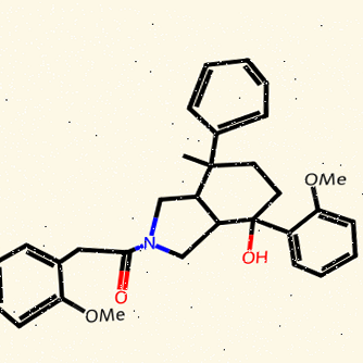 COc1ccccc1CC(=O)N1CC2C(C1)C(O)(c1ccccc1OC)CCC2(C)c1ccccc1